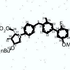 CCCCO[C@H]1CN(c2ccc(Cc3ccc(-c4cc(OC)ccc4F)cc3C)cc2)[C@@H](CC(=O)O)[C@@H]1C